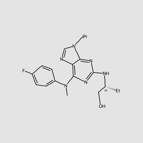 CC[C@H](CO)Nc1nc(N(C)c2ccc(F)cc2)c2ncn(C(C)C)c2n1